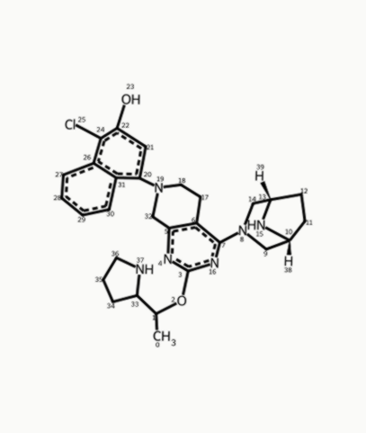 CC(Oc1nc2c(c(N3C[C@H]4CC[C@@H](C3)N4)n1)CCN(c1cc(O)c(Cl)c3ccccc13)C2)C1CCCN1